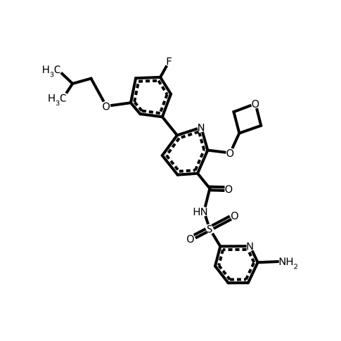 CC(C)COc1cc(F)cc(-c2ccc(C(=O)NS(=O)(=O)c3cccc(N)n3)c(OC3COC3)n2)c1